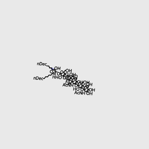 CCCCCCCCCCCCC/C=C/[C@@H](O)[C@H](CO[C@@H]1OC(CO)[C@@H](O[C@@H]2OC(CO)[C@H](O[C@@H]3OC(CO)[C@H](O)[C@H](O[C@@H]4OC(CO)[C@H](O)[C@H](O[C@@H]5OC(CO)[C@@H](O)[C@H](O)C5NC(C)=O)C4O)C3NC(C)=O)[C@H](O)C2O)[C@H](O)C1O)NC(=O)CCCCCCCCCCCCCCC